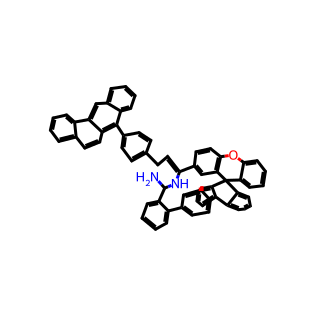 NC(N/C(=C\Cc1ccc(-c2c3ccccc3cc3c2ccc2ccccc23)cc1)c1ccc2c(c1)C1(c3ccccc3O2)c2ccccc2-c2ccccc21)c1ccccc1-c1ccccc1